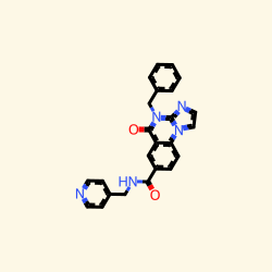 O=C(NCc1ccncc1)c1ccc2c(c1)c(=O)n(Cc1ccccc1)c1nccn21